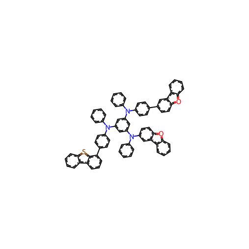 c1ccc(N(c2ccc(-c3ccc4oc5ccccc5c4c3)cc2)c2cc(N(c3ccccc3)c3ccc(-c4cccc5c4sc4ccccc45)cc3)cc(N(c3ccccc3)c3ccc4oc5ccccc5c4c3)c2)cc1